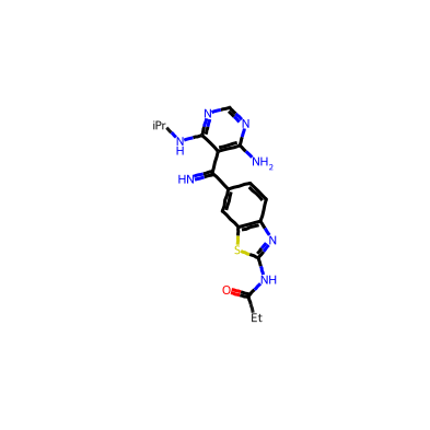 CCC(=O)Nc1nc2ccc(C(=N)c3c(N)ncnc3NC(C)C)cc2s1